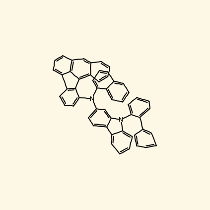 c1ccc(-c2ccccc2-n2c3ccccc3c3ccc(N(c4cccc5c4-c4c6ccccc6cc6cccc-5c46)c4cccc5ccccc45)cc32)cc1